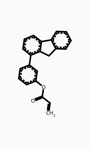 C=CC(=O)Oc1cccc(-c2cccc3c2Cc2ccccc2-3)c1